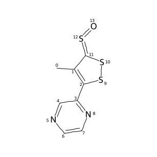 Cc1c(-c2cnccn2)ssc1=S=O